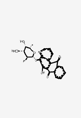 C[C@@H]1O[C@H](Oc2c(O)c3c(c4cccnc24)C(=O)c2ccccc2C3=O)[C@@H](F)[C@H](O)[C@@H]1O